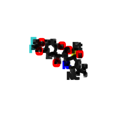 CCS(=O)(=O)c1cc(C2(C#N)CC2)cnc1-c1coc2cc3c(cc2c1=O)OC(F)(F)O3